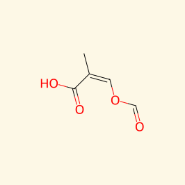 C/C(=C/OC=O)C(=O)O